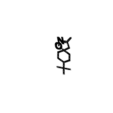 CC1=NOC2(CCC(C(C)(C)C)CC2)C1